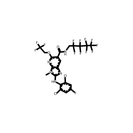 Cn1c(Nc2c(Cl)cc(F)cc2Cl)nc2cc(C(=O)NCC(F)(F)C(F)(F)C(F)(F)C(F)(F)F)c(OCC(F)(F)F)nc21